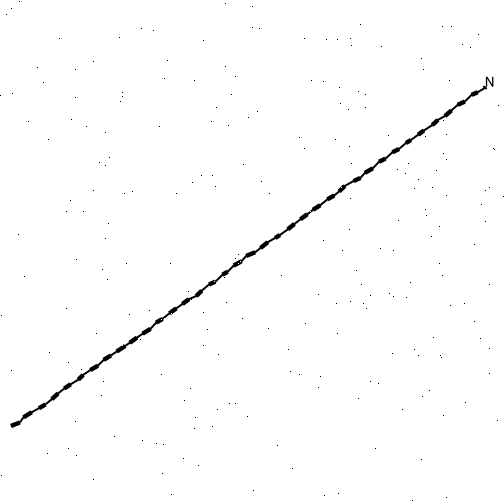 C#CC#CC#CC#CC#CC#CC#CC#CC#CC#CC#CC#CC#CC#CC#CC#CC#CC#CC#CC#CC#CC#CC#CC#CC#CC#CC#CC#CC#CC#CC#CC#CC#CC#CC#CC#CC#N